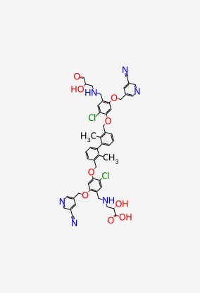 Cc1c(COc2cc(OCc3cncc(C#N)c3)c(CNCC(O)C=O)cc2Cl)cccc1-c1cccc(COc2cc(OCc3cncc(C#N)c3)c(CNC[C@H](O)C(=O)O)cc2Cl)c1C